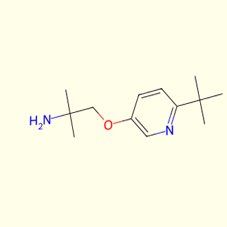 CC(C)(N)COc1ccc(C(C)(C)C)nc1